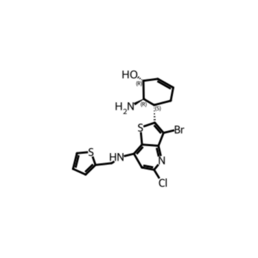 N[C@H]1[C@H](O)C=CC[C@@H]1c1sc2c(NCc3cccs3)cc(Cl)nc2c1Br